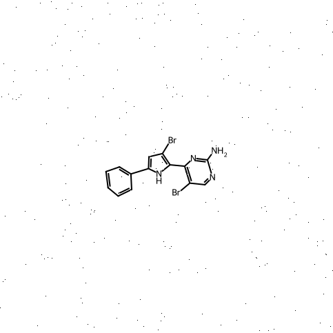 Nc1ncc(Br)c(-c2[nH]c(-c3ccccc3)cc2Br)n1